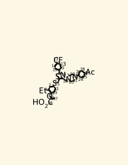 CCc1cc(SCc2sc(-c3ccc(C(F)(F)F)cc3)nc2CN2CCN(c3ccc(C(C)=O)cc3)CC2)ccc1OC(C)C(=O)O